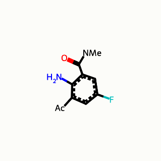 CNC(=O)c1cc(F)cc(C(C)=O)c1N